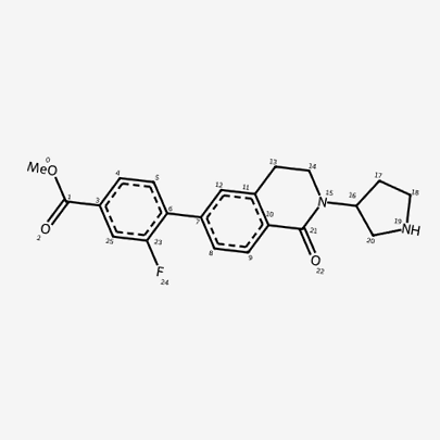 COC(=O)c1ccc(-c2ccc3c(c2)CCN(C2CCNC2)C3=O)c(F)c1